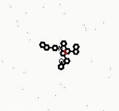 c1cc(-c2ccccc2N(c2ccc(-c3ccc4ccccc4c3)cc2)c2ccc(-c3cccc4c3oc3ccccc34)cc2)cc(-c2cccc3ccccc23)c1